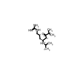 CC(C)N[C@@H](CCCNC(=N)N)CC(=O)C(C)C